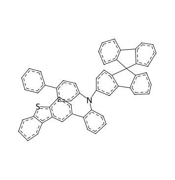 c1ccc(-c2ccc(N(c3ccc4c(c3)-c3ccccc3C43c4ccccc4-c4ccccc43)c3ccccc3-c3ccc4sc5ccccc5c4c3)cc2)cc1